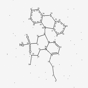 CCCCC1=CC=NC(C(CCS(=O)(=O)O)N2c3ccccc3Sc3ccccc32)N1CCCC